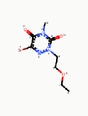 CCOCCn1nc(Br)c(=O)n(C)c1=O